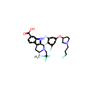 C[C@@H]1Cc2c([nH]c3cc(C(=O)O)ccc23)[C@H](c2c(F)cc(OC3CCN(CCCF)C3)cc2F)N1CC(F)(F)F